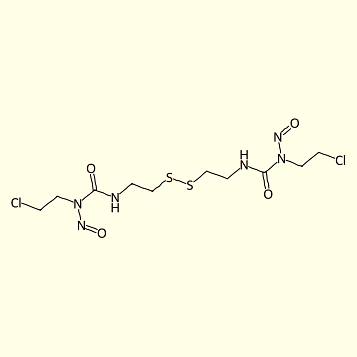 O=NN(CCCl)C(=O)NCCSSCCNC(=O)N(CCCl)N=O